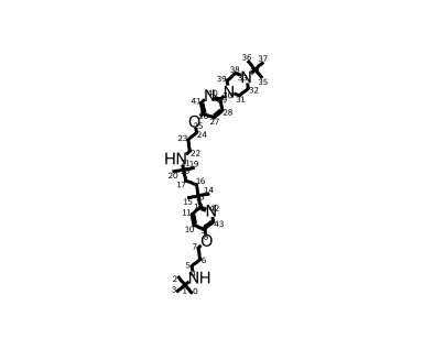 CC(C)(C)NCCCOc1ccc(C(C)(C)CCC(C)(C)NCCCOc2ccc(N3CCN(C(C)(C)C)CC3)nc2)nc1